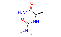 C[C@@H](NC(=O)N(C)C)C(N)=O